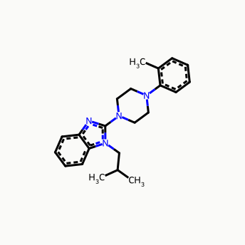 Cc1ccccc1N1CCN(c2nc3ccccc3n2CC(C)C)CC1